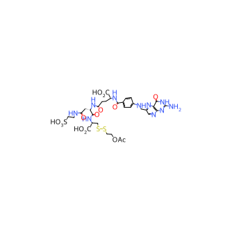 CC(=O)OCCSSC[C@H](NC(=O)[C@H](CC(=O)NCCS(=O)(=O)O)NC(=O)CC[C@H](NC(=O)c1ccc(NCc2cnc3nc(N)[nH]c(=O)c3n2)cc1)C(=O)O)C(=O)O